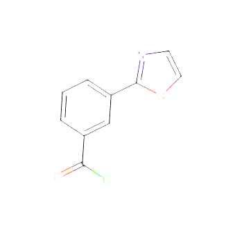 O=C(Cl)c1cccc(-c2ncco2)c1